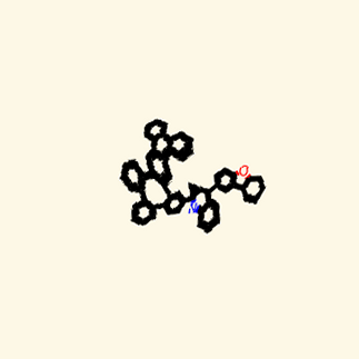 C1=CC2c3cc(C4=c5ccccc5=NC5(c6ccc7c(c6)-c6cc8c9ccccc9c9ccccc9c8cc6-c6ccccc6-c6ccccc6-7)C=C45)ccc3OC2CC1